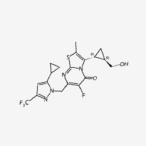 Cc1sc2nc(Cn3nc(C(F)(F)F)cc3C3CC3)c(F)c(=O)n2c1[C@@H]1C[C@H]1CO